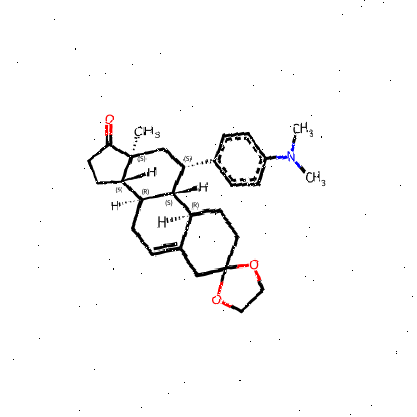 CN(C)c1ccc([C@H]2C[C@]3(C)C(=O)CC[C@H]3[C@@H]3CC=C4CC5(CC[C@@H]4[C@H]32)OCCO5)cc1